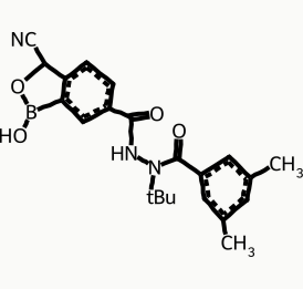 Cc1cc(C)cc(C(=O)N(NC(=O)c2ccc3c(c2)B(O)OC3C#N)C(C)(C)C)c1